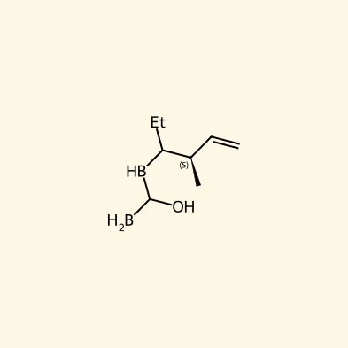 BC(O)BC(CC)[C@H](C)C=C